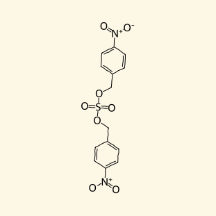 O=[N+]([O-])c1ccc(COS(=O)(=O)OCc2ccc([N+](=O)[O-])cc2)cc1